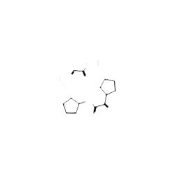 C=C(C(=O)OC1CCCC1)C1CCCC1.C=CC(=O)O